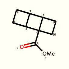 COC(=O)C12C3C4C5C3C1C5C42